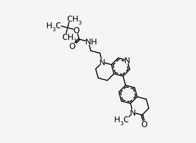 CN1C(=O)CCc2cc(-c3cncc4c3CCCN4CCNC(=O)OC(C)(C)C)ccc21